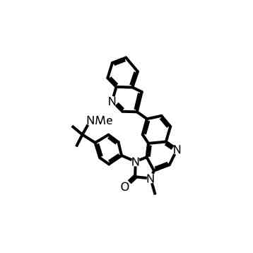 CNC(C)(C)c1ccc(-n2c(=O)n(C)c3cnc4ccc(-c5cnc6ccccc6c5)cc4c32)cc1